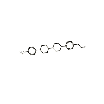 Cc1ccc([C@H]2CC[C@H]([C@H]3CC[C@H](c4ccc(CCF)cc4)CC3)CC2)cc1